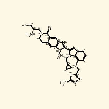 Cc1nnc(COc2cccc3cc(-c4nc5cc6c(cc5n4C)CCN(C[C@H](N)CF)C6=O)n(CC4CC4)c23)o1